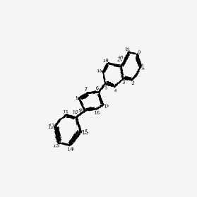 [c]1ccc2cc(-c3ccc(-c4ccccc4)cc3)ccc2c1